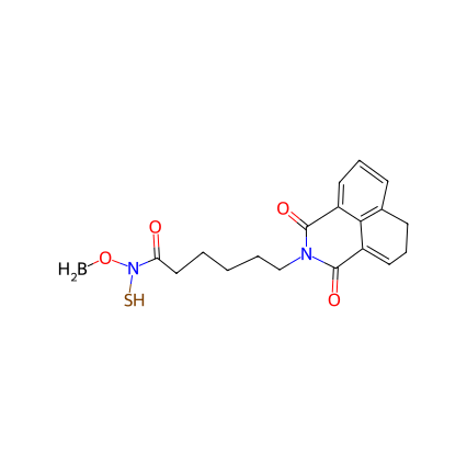 BON(S)C(=O)CCCCCN1C(=O)C2=CCCc3cccc(c32)C1=O